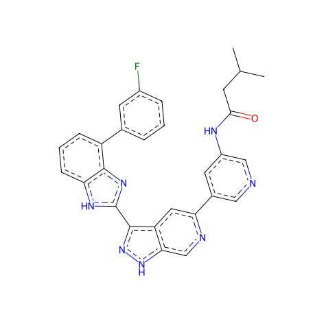 CC(C)CC(=O)Nc1cncc(-c2cc3c(-c4nc5c(-c6cccc(F)c6)cccc5[nH]4)n[nH]c3cn2)c1